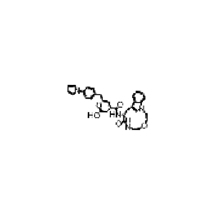 O=C(O)C[C@@H](CCCc1ccc(-n2cccc2)cc1)C(=O)N[C@H]1Cc2cn(c3ccccc23)CCOCCNC1=O